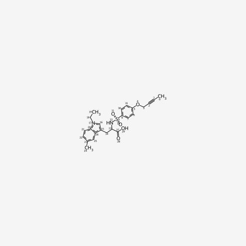 CC#CCOc1ccc(S(=O)(=O)NC(Cc2cn(CC)c3ccc(C)cc23)C(=O)O)cc1